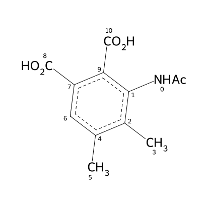 CC(=O)Nc1c(C)c(C)cc(C(=O)O)c1C(=O)O